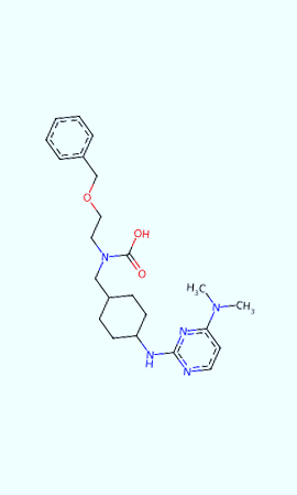 CN(C)c1ccnc(NC2CCC(CN(CCOCc3ccccc3)C(=O)O)CC2)n1